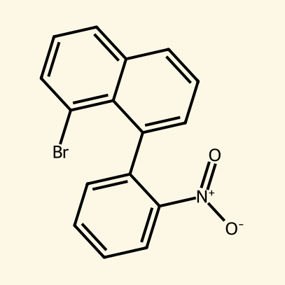 O=[N+]([O-])c1ccccc1-c1cccc2cccc(Br)c12